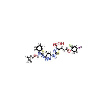 Cc1cc(N(C)c2nc(C(=O)O)c(CCCOc3ccc(I)cc3F)s2)nnc1/N=c1\sc2ccccc2n1COCC[Si](C)(C)C